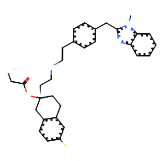 COCC(=O)O[C@]1(CCNCCc2ccc(Cc3nc4ccccc4n3C)cc2)CCc2cc(F)ccc2[C@@H]1C(C)C